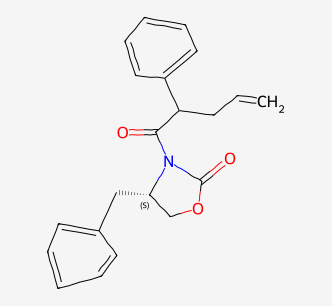 C=CCC(C(=O)N1C(=O)OC[C@@H]1Cc1ccccc1)c1ccccc1